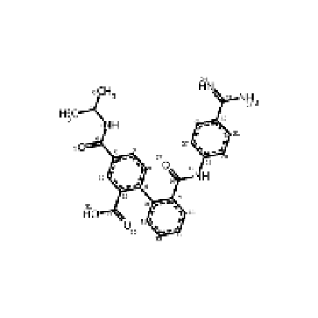 CC(C)NC(=O)c1ccc(-c2ccccc2C(=O)Nc2ccc(C(=N)N)cc2)c(C(=O)O)c1